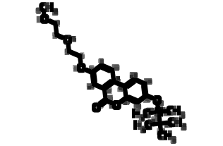 COCCOCCOc1ccc2c(c1)c(=O)oc1cc(O[Si](C)(C)C(C)(C)C)ccc12